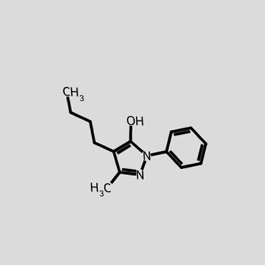 CCCCc1c(C)nn(-c2ccccc2)c1O